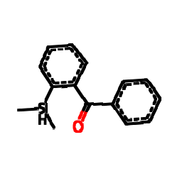 C[SiH](C)c1ccccc1C(=O)c1ccccc1